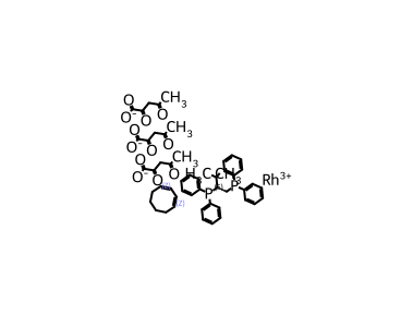 C1=C\CCCC\C=C/1.CC(=O)CC(=O)C(=O)[O-].CC(=O)CC(=O)C(=O)[O-].CC(=O)CC(=O)C(=O)[O-].CC(C)[C@@H](CP(c1ccccc1)c1ccccc1)P(c1ccccc1)c1ccccc1.[Rh+3]